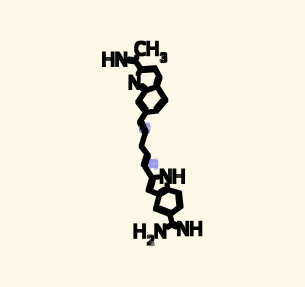 CC(=N)c1ccc2ccc(/C=C/C/C=C/c3cc4cc(C(=N)N)ccc4[nH]3)cc2n1